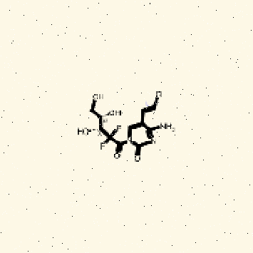 Nc1nc(=O)n(C(=O)C(F)(F)[C@H](O)[C@@H](O)CO)cc1/C=C/Cl